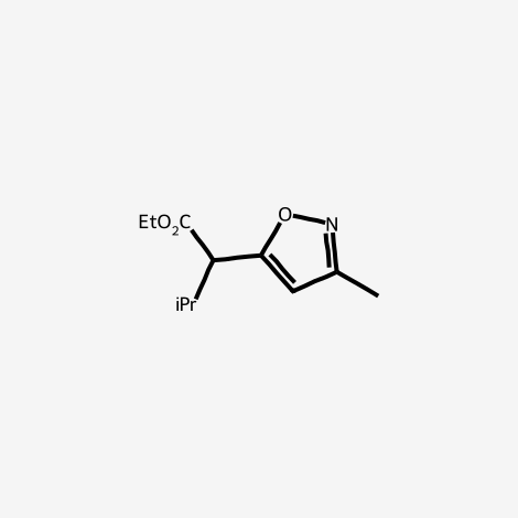 CCOC(=O)C(c1cc(C)no1)C(C)C